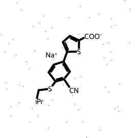 CC(C)CSc1ccc(-c2ccc(C(=O)[O-])s2)cc1C#N.[Na+]